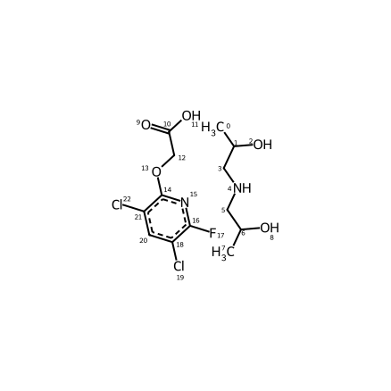 CC(O)CNCC(C)O.O=C(O)COc1nc(F)c(Cl)cc1Cl